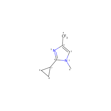 Cn1cc(C(F)(F)F)nc1C1CC1